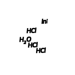 Cl.Cl.Cl.O.[In]